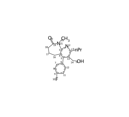 CCCc1nc2c(c(-c3ccc(F)cc3)c1CO)CCCC(=O)N2C